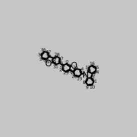 C1=c2oc3cc(-n4c5ccccc5c5ccccc54)ccc3c2=CCC1c1ccc2c(c1)oc1ccccc12